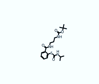 CC(C)NC(=O)Sc1ccccc1C(=O)NCCCNC(=O)OC(C)(C)C